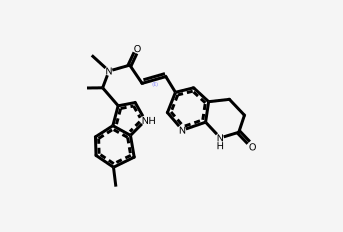 Cc1ccc2c(C(C)N(C)C(=O)/C=C/c3cnc4c(c3)CCC(=O)N4)c[nH]c2c1